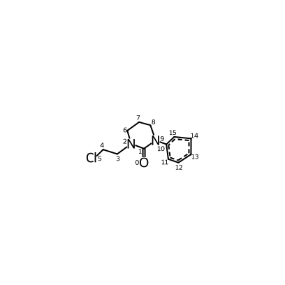 O=C1N(CCCl)CCCN1c1ccccc1